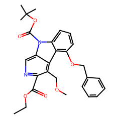 CCOC(=O)c1ncc2c(c1COC)c1c(OCc3ccccc3)cccc1n2C(=O)OC(C)(C)C